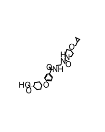 O=C(NCCNC(=O)N1CCC(OCC2CC2)CC1)c1ccc(O[C@H]2CC[C@@H](C(=O)O)CC2)cc1